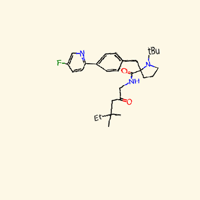 CCC(C)(C)CC(=O)CNC(=O)C1(Cc2ccc(-c3ccc(F)cn3)cc2)CCCN1C(C)(C)C